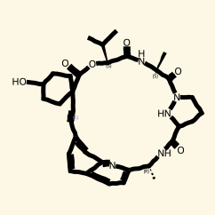 CC(C)[C@@H]1OC(=O)C2(/C=C/c3ccc4ccc(nc4c3)[C@@H](C)NC(=O)C3CCCN(N3)C(=O)[C@H](C)NC1=O)CCC(O)CC2